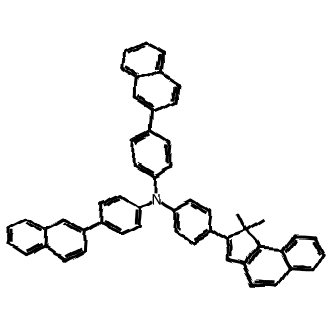 CC1(C)C(c2ccc(N(c3ccc(-c4ccc5ccccc5c4)cc3)c3ccc(-c4ccc5ccccc5c4)cc3)cc2)=Cc2ccc3ccccc3c21